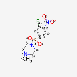 CN1CCN(S(=O)(=O)c2ccc([N+](=O)[O-])c(F)c2)CC1